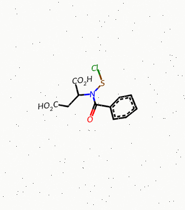 O=C(O)CC(C(=O)O)N(SCl)C(=O)c1ccccc1